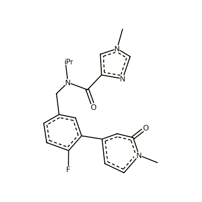 CC(C)N(Cc1ccc(F)c(-c2ccn(C)c(=O)c2)c1)C(=O)c1cn(C)cn1